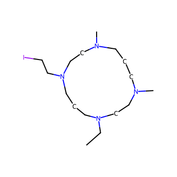 CCN1CCCN(CCI)CCN(C)CCCN(C)CC1